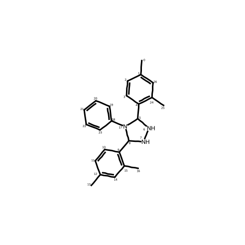 Cc1ccc(C2NNC(c3ccc(C)cc3C)N2c2ccccc2)c(C)c1